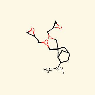 C[SiH2]C1CC2CC1C(COCC1CO1)(COCC1CO1)C2